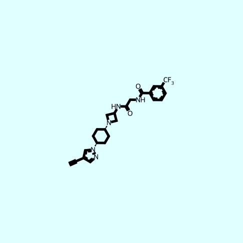 C#Cc1cnn([C@H]2CC[C@@H](N3CC(NC(=O)CNC(=O)c4cccc(C(F)(F)F)c4)C3)CC2)c1